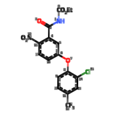 CCOC(=O)NC(=O)c1cc(Oc2ccc(C(F)(F)F)cc2Cl)ccc1[N+](=O)[O-]